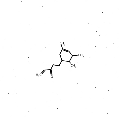 C=CC(=O)CCC1CC(C)=CC(C)C1C